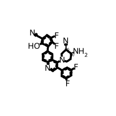 N#Cc1cc(F)c(F)c(-c2ccc3ncc(-c4cc(F)cc(F)c4)c(N4CC[C@H](N)[C@H](C#N)C4)c3c2)c1O